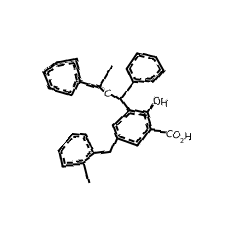 Cc1ccccc1Cc1cc(C(=O)O)c(O)c(C(CC(C)c2ccccc2)c2ccccc2)c1